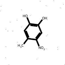 Cc1cc(O)c(O)cc1[N+](=O)[O-]